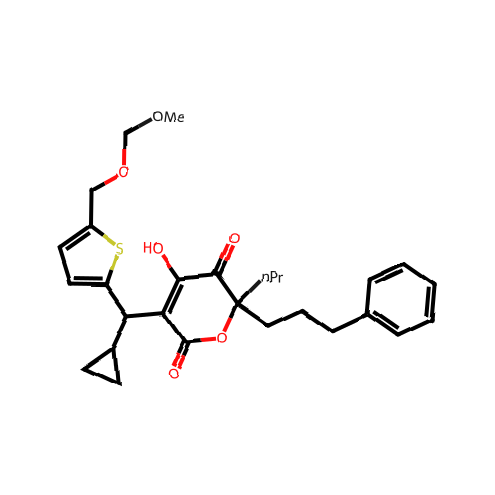 CCCC1(CCCc2ccccc2)OC(=O)C(C(c2ccc(COCOC)s2)C2CC2)=C(O)C1=O